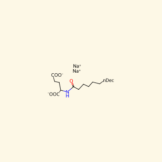 CCCCCCCCCCCCCCCC(=O)NC(CCC(=O)[O-])C(=O)[O-].[Na+].[Na+]